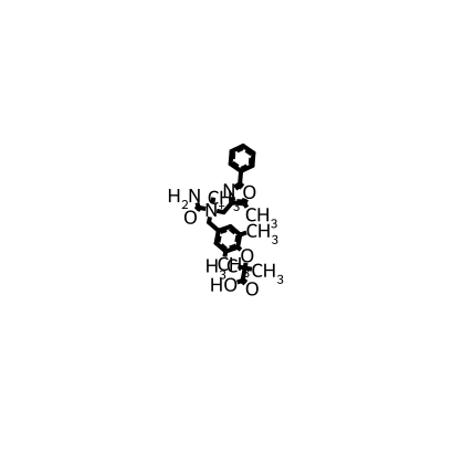 Cc1cc(C[N+](C)(Cc2nc(-c3ccccc3)oc2C)C(N)=O)cc(C)c1OC(C)(C)C(=O)O